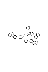 CC1(C)c2ccccc2-c2ccc(-c3ccc(N(c4cccc(-c5ccc6c(c5)C(C)(C)c5ccccc5-6)c4)c4ccc5c(c4)c4cc(-c6cccc7ccccc67)ccc4n5-c4ccccc4)cc3)cc21